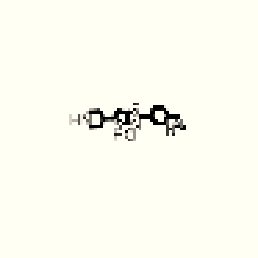 Cl.Cn1cc2ccc(-c3nc4sc(C5CCNCC5)cc4s3)cc2n1